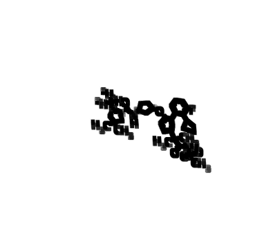 [2H]C([2H])([2H])N1CC(C)(C)C[C@H]1C(=O)N[C@@H]1CC[C@@H](Oc2ccc(C(C)(C)C(=O)NS(C)(=O)=O)cc2-c2cccc(F)c2C2CCC2)C1